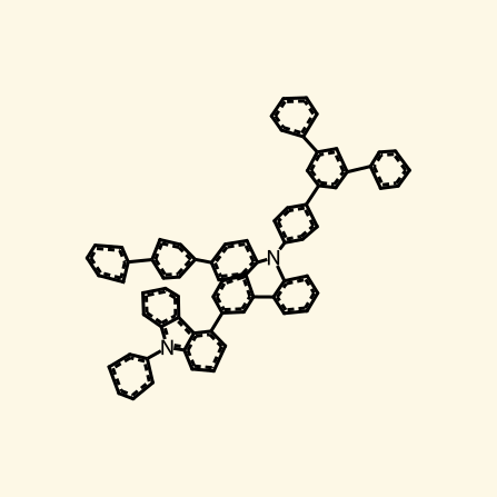 c1ccc(-c2ccc(-c3ccc(N(c4ccc(-c5cc(-c6ccccc6)cc(-c6ccccc6)c5)cc4)c4ccccc4-c4cccc(-c5cccc6c5c5ccccc5n6-c5ccccc5)c4)cc3)cc2)cc1